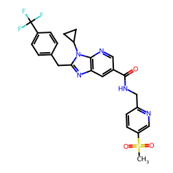 CS(=O)(=O)c1ccc(CNC(=O)c2cnc3c(c2)nc(Cc2ccc(C(F)(F)F)cc2)n3C2CC2)nc1